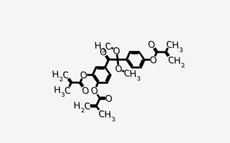 C=C(C)C(=O)Oc1ccc(C(OC)(OC)C(=O)c2ccc(OC(=O)C(=C)C)c(OC(=O)C(=C)C)c2)cc1